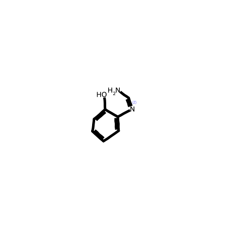 N/C=N\c1ccccc1O